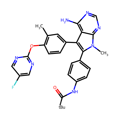 Cc1cc(-c2c(-c3ccc(NC(=O)C(C)(C)C)cc3)n(C)c3ncnc(N)c23)ccc1Oc1ncc(F)cn1